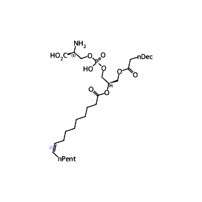 CCCCC/C=C\CCCCCCCC(=O)O[C@H](COC(=O)CCCCCCCCCCC)COP(=O)(O)OC[C@H](N)C(=O)O